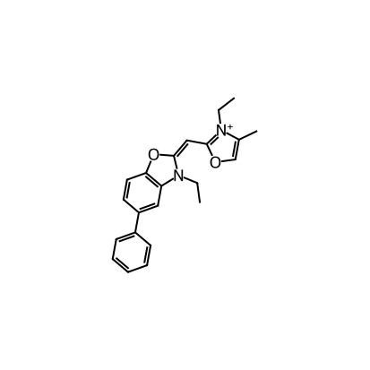 CCN1C(=Cc2occ(C)[n+]2CC)Oc2ccc(-c3ccccc3)cc21